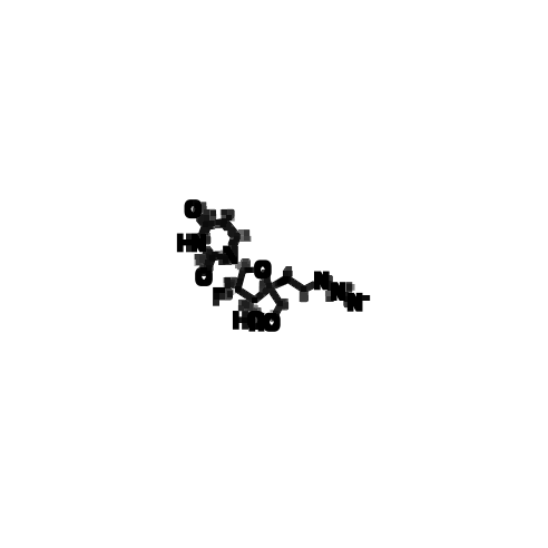 [N-]=[N+]=NCC[C@]1(CO)O[C@@H](n2ccc(=O)[nH]c2=O)[C@@H](F)[C@H]1O